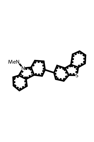 CNn1c2ccccc2c2cc(-c3ccc4sc5ccccc5c4c3)ccc21